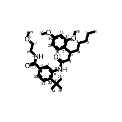 CCCCCC(CC(=O)Nc1cc(C(=O)NCCOC)ccc1C(C)(C)C)c1ccc(OC)cc1OC